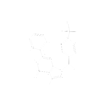 Cc1nn(C(C)c2ccc(C(F)(F)F)cc2)c2nc(-c3ccccn3)[nH]c(=O)c12